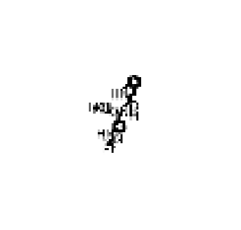 Cl.Cl.O=C(NCC(O)C1Cc2ccccc2CN1)c1ccc2nc(C(F)(F)F)[nH]c2c1